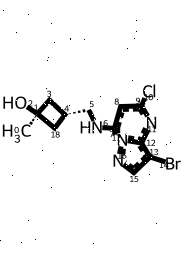 C[C@]1(O)C[C@H](CNc2cc(Cl)nc3c(Br)cnn23)C1